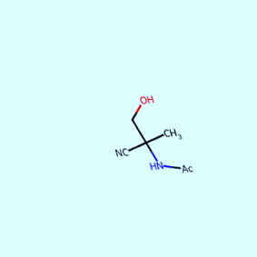 CC(=O)NC(C)(C#N)CO